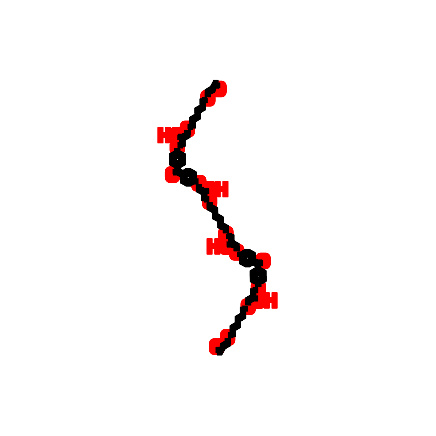 O=C(c1ccc(OCC(O)COCCCCCCOCC(O)COc2ccc(C(=O)c3ccc(OCC(O)COCCCCCCOCC4CO4)cc3)cc2)cc1)c1ccc(OCC(O)COCCCCCCOCC2CO2)cc1